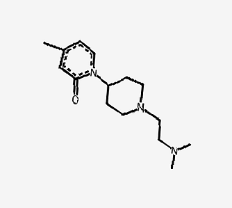 Cc1ccn(C2CCN(CCN(C)C)CC2)c(=O)c1